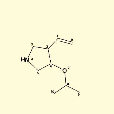 C=CC1CNCC1OC(C)C